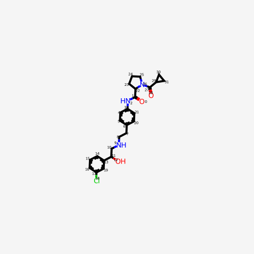 O=C(Nc1ccc(CCNCC(O)c2cccc(Cl)c2)cc1)C1CCCN1C(=O)C1CC1